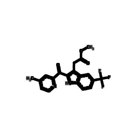 COC(=O)Cc1c(C(=O)c2cc(C)ccn2)[nH]c2ccc(C(F)(F)F)cc12